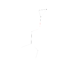 CCC(C)COC1CC1